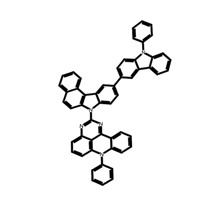 c1ccc(N2c3ccccc3-c3nc(-n4c5ccc(-c6ccc7c(c6)c6ccccc6n7-c6ccccc6)cc5c5c6ccccc6ccc54)nc4cccc2c34)cc1